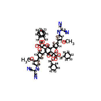 COc1cc(N=C(C#N)C#N)sc1-c1cc2c(s1)-c1cc3c(cc1C(C(=O)OCc1ccccc1)(C(=O)OCc1ccccc1)O2)-c1sc(-c2sc(N=C(C#N)C#N)cc2OC)cc1OC3(C(=O)OCc1ccccc1)C(=O)OCc1ccccc1